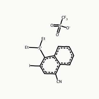 CC[S+](CC)c1c(I)cc(C#N)c2ccccc12.O=S(=O)([O-])C(F)(F)F